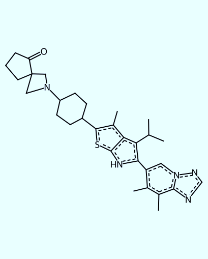 Cc1c(-c2[nH]c3sc(C4CCC(N5CC6(CCCC6=O)C5)CC4)c(C)c3c2C(C)C)cn2ncnc2c1C